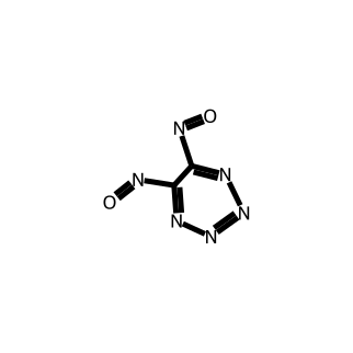 O=Nc1nnnnc1N=O